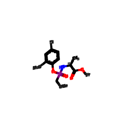 CCc1ccc(OP(=O)(COC)N[C@@H](C)C(=O)OC(C)C)c(OC)c1